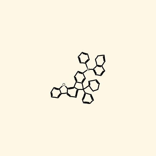 C1=CCCC(C2(c3ccccc3)c3cc(N(c4ccccc4)c4cccc5c4CCC=C5)ccc3-c3c2ccc2c3oc3ccccc32)=C1